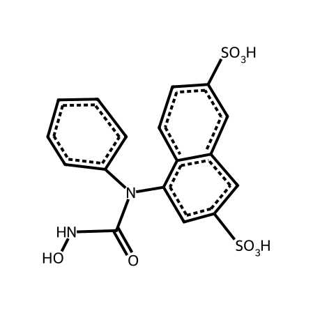 O=C(NO)N(c1ccccc1)c1cc(S(=O)(=O)O)cc2cc(S(=O)(=O)O)ccc12